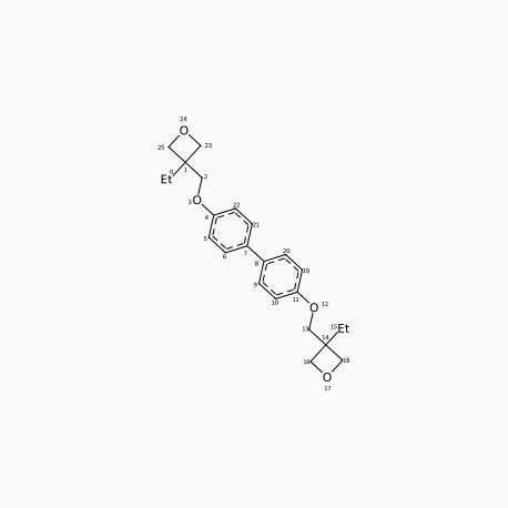 CCC1(COc2ccc(-c3ccc(OCC4(CC)COC4)cc3)cc2)COC1